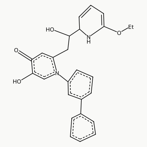 CCOC1=CC=CC(C(O)Cc2cc(=O)c(O)cn2-c2cccc(-c3ccccc3)c2)N1